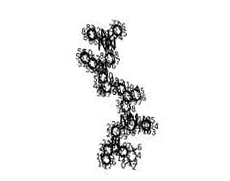 CC1(C)CCC(C)(C)c2cc3c(cc21)c1c2ccccc2ccc1n3-c1cccc(C2=NC(C3C=Cc4c(c5c(c6ccc(C7(C)CCC(C)(C)c8cc9c%10cc%11ccccc%11cc%10n(C%10C=CC=C(c%11nc(-c%12ccccc%12)nc(-c%12ccccc%12)n%11)C%10)c9cc87)cc46)C=CCC5)C3)=NC(c3ccccc3)=CC2)c1